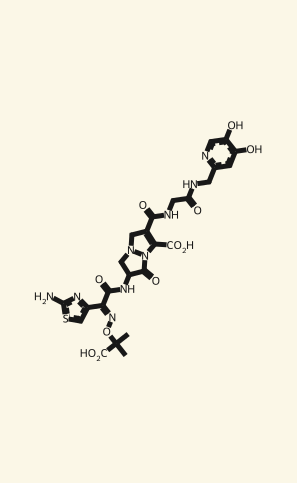 CC(C)(ON=C(C(=O)NC1CN2CC(C(=O)NCC(=O)NCc3cc(O)c(O)cn3)=C(C(=O)O)N2C1=O)c1csc(N)n1)C(=O)O